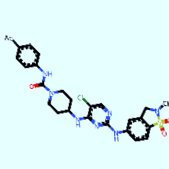 CC(=O)c1ccc(NC(=O)N2CCC(Nc3nc(Nc4ccc5c(c4)CN(C)S5(=O)=O)ncc3Cl)CC2)cc1